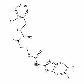 Cc1cc2nc(NC(=O)OCCN(C)C(=O)NCc3ccccc3Cl)sc2cc1C